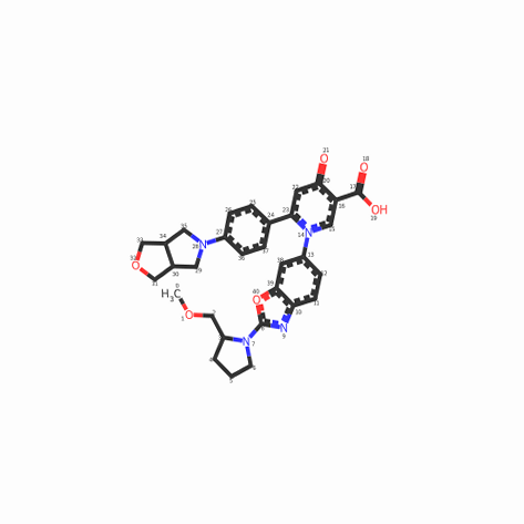 COCC1CCCN1c1nc2ccc(-n3cc(C(=O)O)c(=O)cc3-c3ccc(N4CC5COCC5C4)cc3)cc2o1